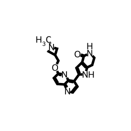 CN1CC(COc2ccc3nccc(-c4cc5c([nH]4)CCNC5=O)c3n2)C1